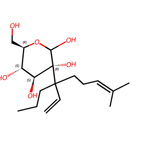 C=CC(CCC)(CCC=C(C)C)[C@]1(O)C(O)O[C@H](CO)[C@@H](O)[C@@H]1O